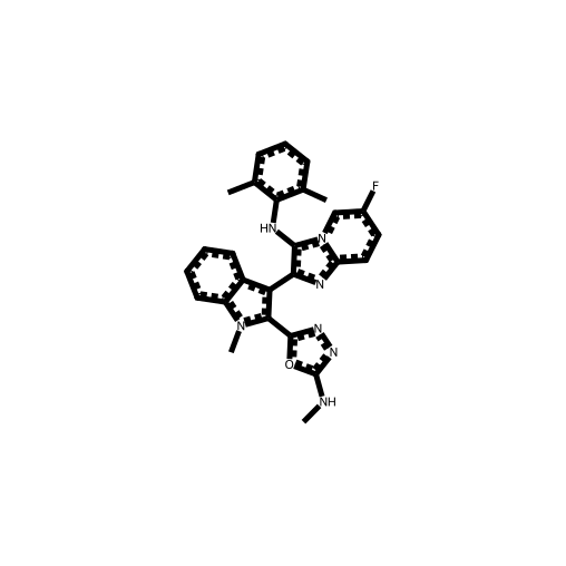 CNc1nnc(-c2c(-c3nc4ccc(F)cn4c3Nc3c(C)cccc3C)c3ccccc3n2C)o1